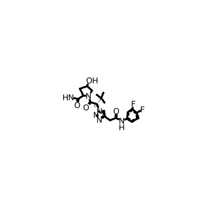 CNC(=O)C1CC(O)CN1C(=O)[C@@H](n1cc(CC(=O)Nc2ccc(F)c(F)c2)nn1)C(C)(C)C